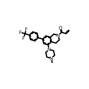 C=CC(=O)N1CCc2c(cc(-c3ccc(C(F)(F)F)cc3)cc2N2CCN(C)CC2)C1